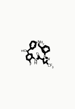 NCc1cccc(-n2nc(C(F)(F)F)cc2C(=O)Nc2cc(C(O)c3ccccc3)ccc2F)c1